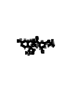 CCS(C)(N=O)c1ccc(Br)cc1CNC(=O)c1cc(Cl)cc(OC(F)(F)F)c1